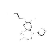 CSc1cc2c(cc1O/C=C/C(=O)O)S(=O)(=O)N(C)CCN2c1ccccc1